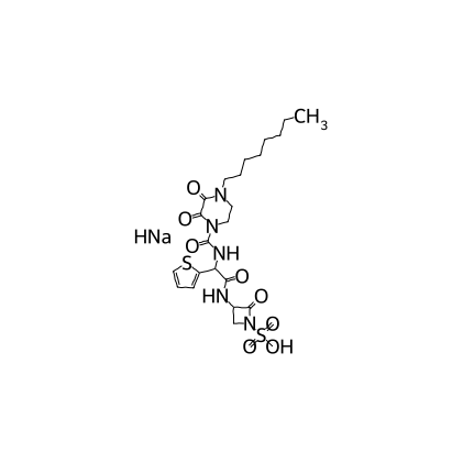 CCCCCCCCN1CCN(C(=O)NC(C(=O)NC2CN(S(=O)(=O)O)C2=O)c2cccs2)C(=O)C1=O.[NaH]